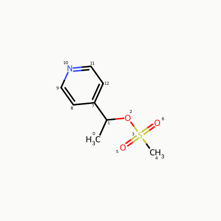 CC(OS(C)(=O)=O)c1ccncc1